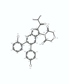 CC(C)C(=O)c1oc2nc(-c3ccccc3Cl)c(-c3ccc(Cl)cc3)cc2c1N1C(=O)COCC1=O